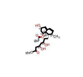 CC[C@H](C)C(=O)O[C@H]1C[C@H](O)C=C2C=C[C@H](C)[C@H](CC[C@@H](O)C[C@@H](O)CC(=O)OC)[C@H]21